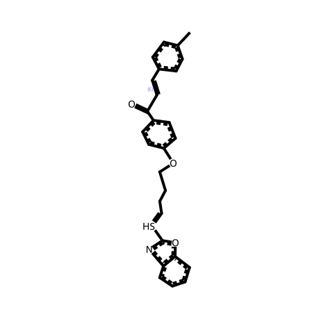 Cc1ccc(/C=C/C(=O)c2ccc(OCCCC=[SH]c3nc4ccccc4o3)cc2)cc1